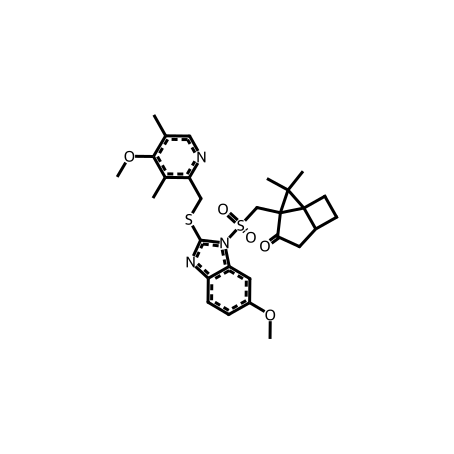 COc1ccc2nc(SCc3ncc(C)c(OC)c3C)n(S(=O)(=O)CC34C(=O)CC5CCC53C4(C)C)c2c1